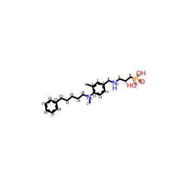 Cc1cc(CNCCCP(=O)(O)O)ccc1N(C)CCCCCc1ccccc1